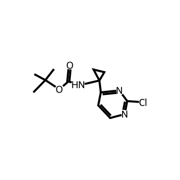 CC(C)(C)OC(=O)NC1(c2ccnc(Cl)n2)CC1